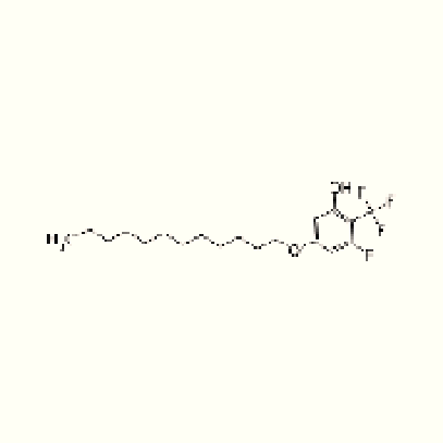 CCCCCCCCCCCCOc1cc(O)c(C(F)(F)F)c(F)c1